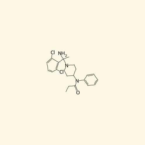 CCC(=O)N(c1ccccc1)C1CCN(C(C)(N)c2c(Cl)cccc2Cl)CC1